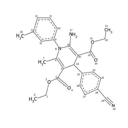 CCOC(=O)C1=C(C)N(c2cccc(C)c2)C(N)=C(C(=O)OCC)C1c1ccc(C#N)cc1